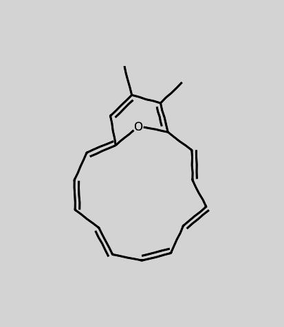 CC1=C\C2=C/C=C\C=C\C=C/C=C/C=C/C(=C1C)O2